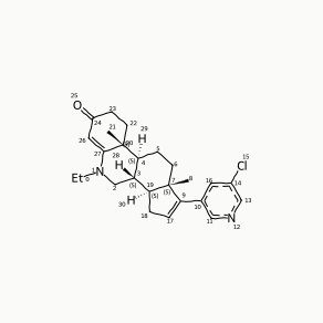 CCN1C[C@@H]2[C@H](CC[C@]3(C)C(c4cncc(Cl)c4)=CC[C@@H]23)[C@@]2(C)CCC(=O)C=C12